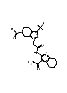 NC(=O)c1c(NC(=O)Cn2nc(C(F)(F)F)c3c2CN(C(=O)O)CC3)sc2c1CCCC2